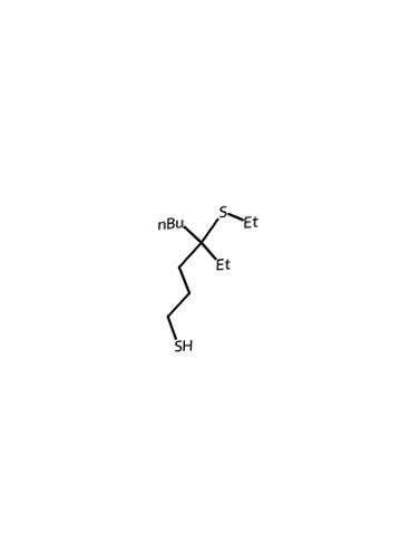 CCCCC(CC)(CCCS)SCC